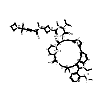 CCn1c(-c2cccnc2[C@H](C)OC)c2c3cc(ccc31)-c1csc(n1)C[C@H](NC(=O)[C@H](C(C)C)N(C)C(=O)N1CC(N(C)C(=O)C#CC(C)(C)N3CCC3)C1)C(=O)N1CCC[C@H](N1)C(=O)OCC(C)(C)C2